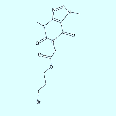 Cn1cnc2c1c(=O)n(CC(=O)OCCCBr)c(=O)n2C